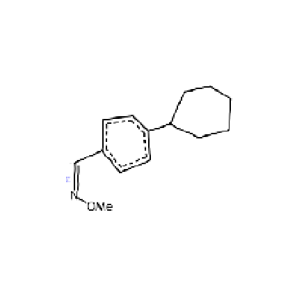 CO/N=[C]\c1ccc(C2CCCCC2)cc1